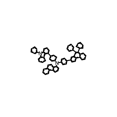 c1ccc(-c2c(-c3ccccc3)c3cc(-c4ccc(N(c5ccc(-c6cccc7c6c6ccccc6n7-c6ccccc6)cc5)c5cccc6c5ccc5ccccc56)cc4)ccc3c3ccccc23)cc1